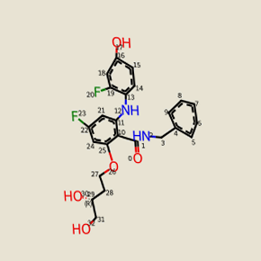 O=C(NCc1ccccc1)c1c(Nc2ccc(O)cc2F)cc(F)cc1OCC[C@@H](O)CO